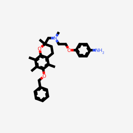 Cc1c(C)c2c(c(C)c1OCc1ccccc1)CCC(C)(CN(C)CCOc1ccc(N)cc1)O2